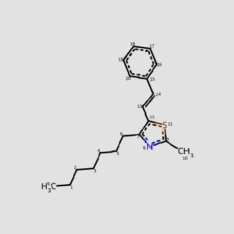 CCCCCCCc1nc(C)sc1C=Cc1ccccc1